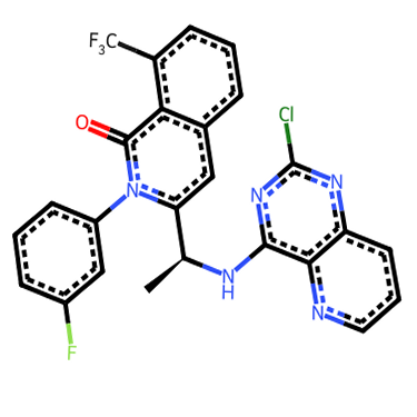 C[C@H](Nc1nc(Cl)nc2cccnc12)c1cc2cccc(C(F)(F)F)c2c(=O)n1-c1cccc(F)c1